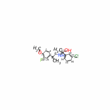 COc1ccc([C@@H](C)CN[C@@](C)(O)c2cccc(Cl)c2)cc1F